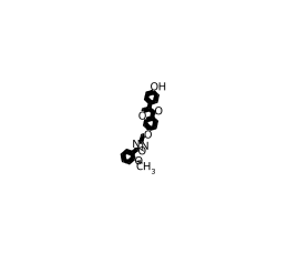 COc1ccccc1-c1nc(COc2ccc3c(=O)c(-c4ccc(O)cc4)coc3c2)no1